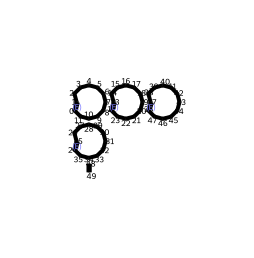 C1=C/CCCCCCCCCC/1.C1=C/CCCCCCCCCC/1.C1=C/CCCCCCCCCC/1.C1=C/CCCCCCCCCC/1.C=C